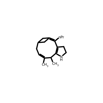 CCCC1=C2CC(C/C=C(/C)C(C)C3=C1CCN3)C2